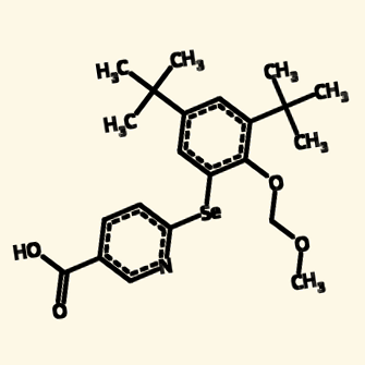 COCOc1c([Se]c2ccc(C(=O)O)cn2)cc(C(C)(C)C)cc1C(C)(C)C